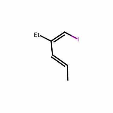 CC=CC(=CI)CC